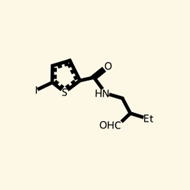 CCC(C=O)CNC(=O)c1ccc(I)s1